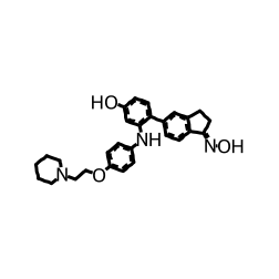 O/N=C1\CCc2cc(-c3ccc(O)cc3Nc3ccc(OCCN4CCCCC4)cc3)ccc21